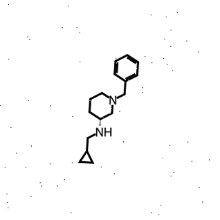 c1ccc(CN2CCC[C@@H](NCC3CC3)C2)cc1